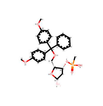 B[C@H]1C[C@@H](OP(C)(=O)O)[C@@H](COC(c2ccccc2)(c2ccc(OC)cc2)c2ccc(OC)cc2)O1